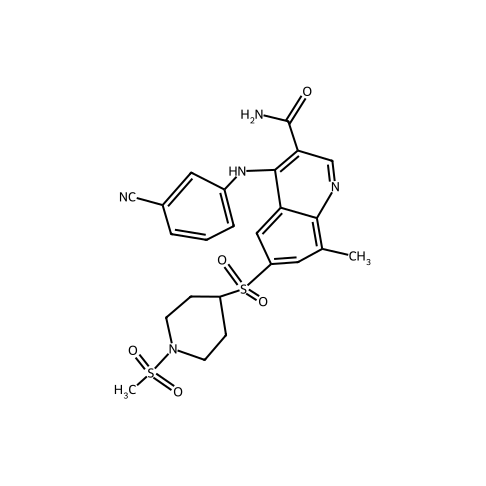 Cc1cc(S(=O)(=O)C2CCN(S(C)(=O)=O)CC2)cc2c(Nc3cccc(C#N)c3)c(C(N)=O)cnc12